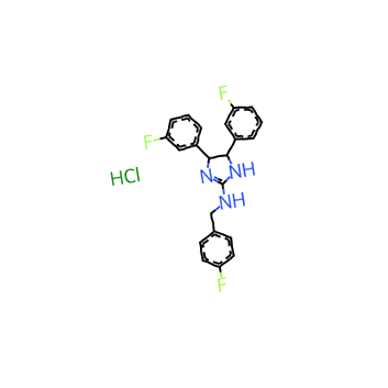 Cl.Fc1ccc(CNC2=NC(c3cccc(F)c3)C(c3cccc(F)c3)N2)cc1